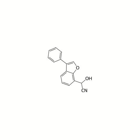 N#CC(O)c1cccc2c(-c3ccccc3)coc12